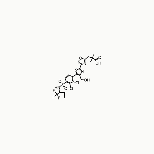 CCC(NS(=O)(=O)c1ccc(-c2sc(-c3noc(CC(C)(C)C(=O)O)n3)nc2CO)c(Cl)c1Cl)C(F)(F)F